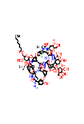 CCCCCCCCC(=O)NC1C(O)[C@H](O)C(COC(=O)CCCCCCC)O[C@H]1Oc1c2cc3cc1OC1=C(C)C=C(CC1C)C[C@H]1NC(=O)[C@H](N)c4ccc(O)c(c4)Oc4cc(O)cc(c4)[C@H](NC1=O)C(=O)N[C@H]3C(=O)N[C@H]1C(=O)N[C@H](C(=O)N[C@H](C(=O)O)C3=CC(O)CC(O[C@H]4OC(CO)[C@@H](O)C(O)C4O)=C3C3C(CO)=CC=C1C3C)[C@H](O[C@@H]1OC(CO)[C@@H](O)C(O)C1NC(C)=O)C1=CC=C(O2)[C@@H](Cl)C1